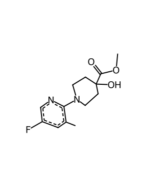 COC(=O)C1(O)CCN(c2ncc(F)cc2C)CC1